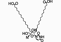 N#C[C@]1(CO)O[C@@H](n2ccc(=O)[nH]c2=O)[C@H](CCCCCCCCCCCCCCCC(=O)O)[C@@]1(O)CCCCCCCCCCCCCCCC(=O)O